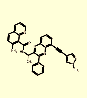 C[C@H](NC(=O)c1c(N)ccc2cccnc12)c1nc2cccc(C#Cc3cnn(C)c3)c2nc1-c1ccccc1